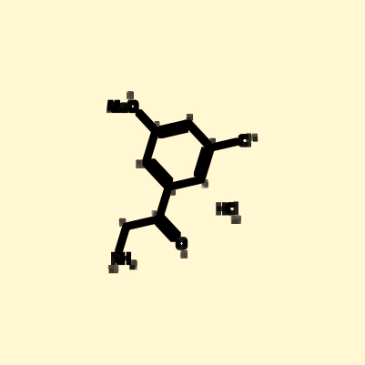 COc1cc(Cl)cc(C(=O)CN)c1.Cl